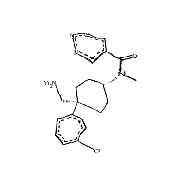 CN(C(=O)c1ccnnc1)[C@H]1CC[C@](CN)(c2cccc(Cl)c2)CC1